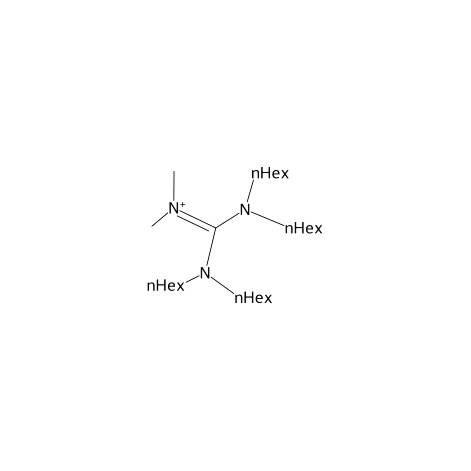 CCCCCCN(CCCCCC)C(N(CCCCCC)CCCCCC)=[N+](C)C